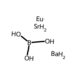 OB(O)O.[BaH2].[Eu].[SrH2]